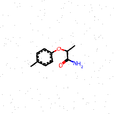 Cc1ccc(OC(C)C(N)=O)cc1